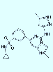 Cc1cn2c(Nc3cc(C)[nH]n3)nc(-c3cccc(S(=O)(=O)NC4CC4)c3)cc2n1